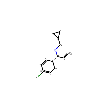 C=CC(NCC1CC1)[C@H]1C=CC(F)=CC1